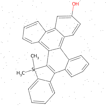 C[Si]1(C)c2ccccc2-c2c1c1c3ccccc3c3cc(O)ccc3c1c1ccccc21